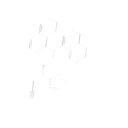 C#CCC(C(=O)OC(c1cccc2ccccc12)c1cccc2ccccc12)n1cccc1